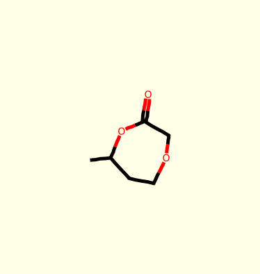 CC1CCOCC(=O)O1